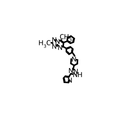 Cc1nc2nc(-c3ccc(CN4CCC(c5n[nH]c(-c6ccccn6)n5)CC4)cc3)c(-c3ccccc3)c(C)n2n1